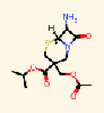 CC(=O)OCC1(C(=O)OC(C)C)CS[C@@H]2C(N)C(=O)N2C1